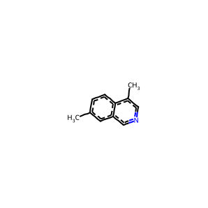 Cc1ccc2c(C)cncc2c1